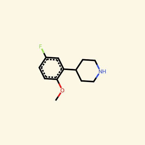 COc1ccc(F)cc1C1CCNCC1